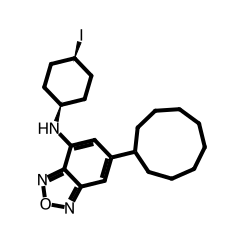 I[C@H]1CC[C@@H](Nc2cc(C3CCCCCCCC3)cc3nonc23)CC1